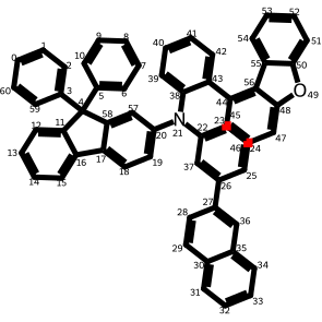 c1ccc(C2(c3ccccc3)c3ccccc3-c3ccc(N(c4cccc(-c5ccc6ccccc6c5)c4)c4ccccc4-c4cccc5oc6ccccc6c45)cc32)cc1